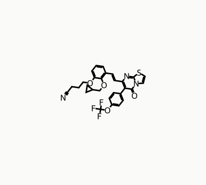 N#CCCCOc1cccc(C=Cc2nc3sccn3c(=O)c2-c2ccc(OC(F)(F)F)cc2)c1OCC1CC1